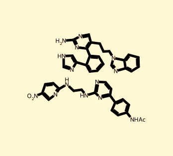 CC(=O)Nc1ccc(-c2ccnc(NCCNc3ccc([N+](=O)[O-])cn3)n2)cc1.Nc1ncc(CCCn2cnc3ccccc32)c(-c2ccccc2-c2c[nH]cn2)n1